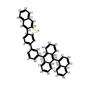 c1cc(-c2ccc3c(c2)sc2cc4ccccc4cc23)cc(-c2c3ccccc3c(-c3cccc4ccccc34)c3ccccc23)c1